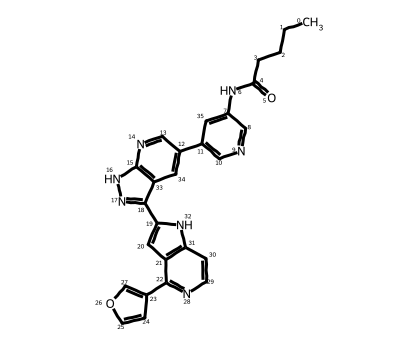 CCCCC(=O)Nc1cncc(-c2cnc3[nH]nc(-c4cc5c(-c6ccoc6)nccc5[nH]4)c3c2)c1